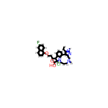 CCc1c2c(nn1C)CN(C)CCCN1c3c-2cccc3C(CCCOc2cccc3cc(F)ccc23)C1(Cl)C(=O)O